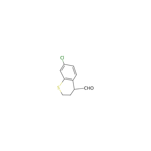 O=CC1CCSc2cc(Cl)ccc21